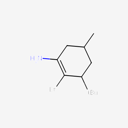 CCC1=C(N)CC(C)CC1C(C)(C)C